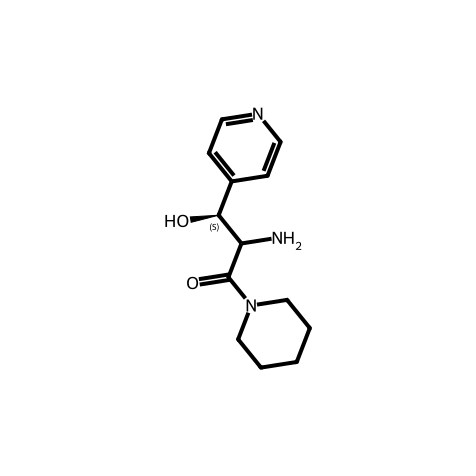 NC(C(=O)N1CCCCC1)[C@@H](O)c1ccncc1